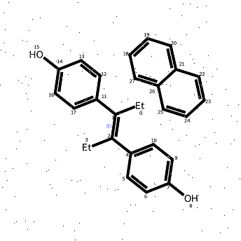 CC/C(=C(/CC)c1ccc(O)cc1)c1ccc(O)cc1.c1ccc2ccccc2c1